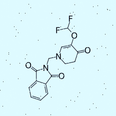 O=C1CCN(CN2C(=O)c3ccccc3C2=O)C=C1OC(F)F